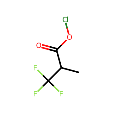 CC(C(=O)OCl)C(F)(F)F